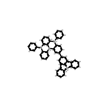 c1ccc(N2c3ccccc3B3c4cc(-c5cc6c7ccccc7n7c8ccccc8c(c5)c67)ccc4N(c4ccccc4)c4cccc2c43)cc1